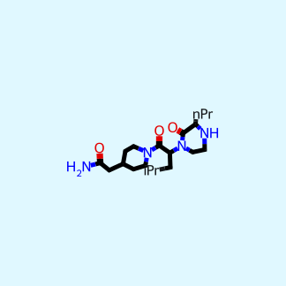 CCCC1NCCN(C(CC(C)C)C(=O)N2CCC(CC(N)=O)CC2)C1=O